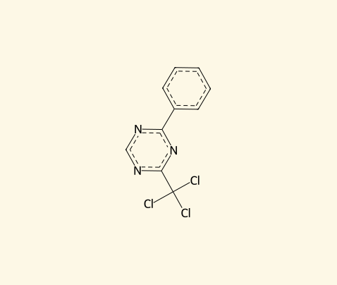 ClC(Cl)(Cl)c1ncnc(-c2ccccc2)n1